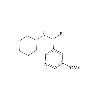 CCC(NC1CCCCC1)c1cncc(OC)c1